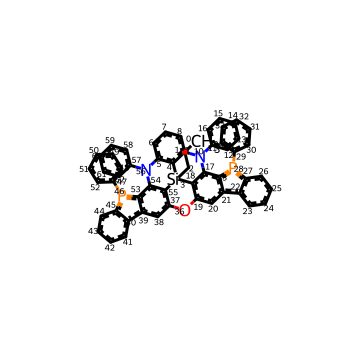 CCC[Si]12c3c4cccc3N(c3ccccc3)c3c1c(cc1c5ccccc5p(-c5ccccc5)c31)Oc1cc3c5ccccc5p(-c5ccccc5)c3c(c12)N4c1ccccc1